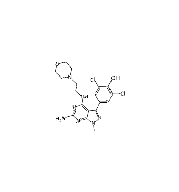 Cn1nc(-c2cc(Cl)c(O)c(Cl)c2)c2c(NCCN3CCOCC3)nc(N)nc21